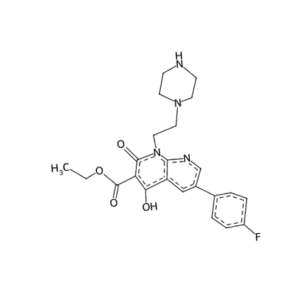 CCOC(=O)c1c(O)c2cc(-c3ccc(F)cc3)cnc2n(CCN2CCNCC2)c1=O